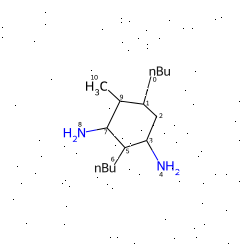 CCCCC1CC(N)C(CCCC)C(N)C1C